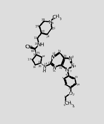 CCOc1ccc(-n2nnc3cnc(N[C@@H]4CC[C@@H](C(=O)NCC5CCN(C)CC5)C4)nc32)cc1